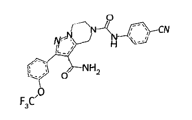 N#Cc1ccc(NC(=O)N2CCn3nc(-c4cccc(OC(F)(F)F)c4)c(C(N)=O)c3C2)cc1